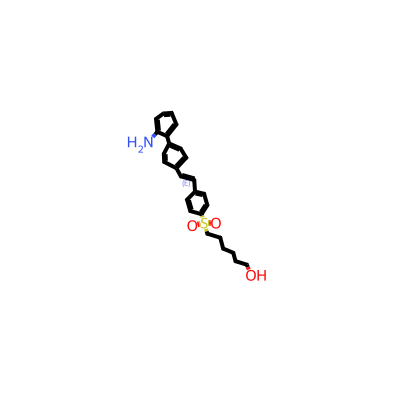 Nc1ccccc1-c1ccc(/C=C/c2ccc(S(=O)(=O)CCCCCCO)cc2)cc1